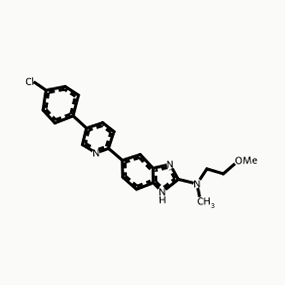 COCCN(C)c1nc2cc(-c3ccc(-c4ccc(Cl)cc4)cn3)ccc2[nH]1